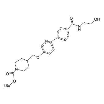 CC(C)(C)OC(=O)N1CCC(COc2ccc(-c3ccc(C(=O)NCCO)cc3)nc2)CC1